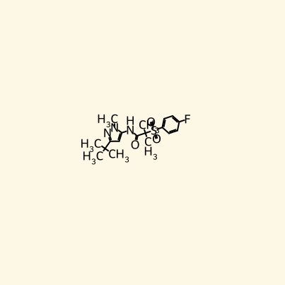 Cn1nc(C(C)(C)C)cc1NC(=O)C(C)(C)S(=O)(=O)c1ccc(F)cc1